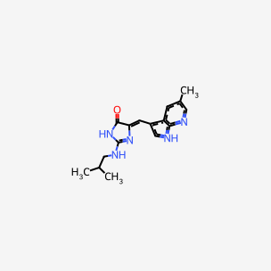 Cc1cnc2[nH]cc(/C=C3\N=C(NCC(C)C)NC3=O)c2c1